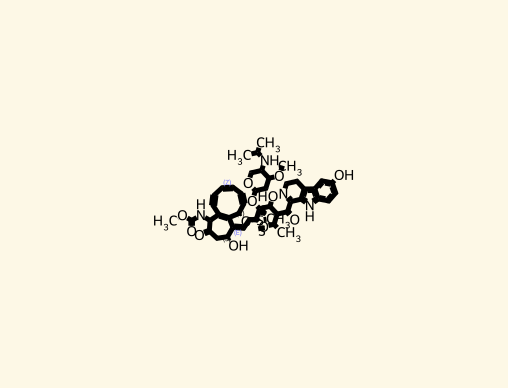 COC(=O)NC1C(=O)C[C@H](O)/C(=C/CS(C)(=S)=S)C2=C1C#C/C=C\C#C[C@@H]2OC1OC(C)C(C(=O)C2=NCCc3c2[nH]c2ccc(O)cc32)C(O)C1OC1CC(OC)C(NC(C)C)CO1